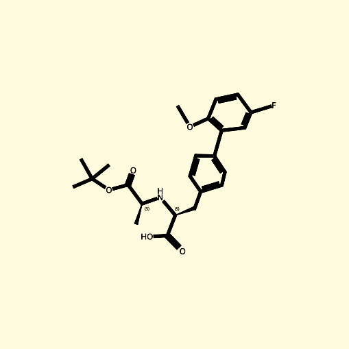 COc1ccc(F)cc1-c1ccc(C[C@H](N[C@@H](C)C(=O)OC(C)(C)C)C(=O)O)cc1